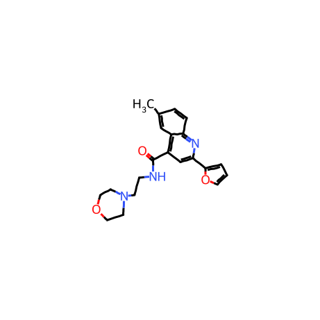 Cc1ccc2nc(-c3ccco3)cc(C(=O)NCCN3CCOCC3)c2c1